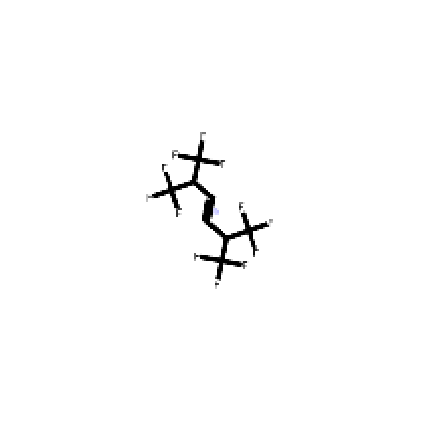 FC(F)(F)C(/C=C/C(C(F)(F)F)C(F)(F)F)C(F)(F)F